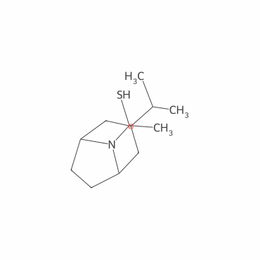 CC(C)C1CC2CCC(C1)N2C(C)S